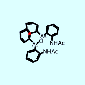 CC(=O)Nc1ccccc1[As](O[As](c1ccccc1)c1ccccc1NC(C)=O)c1ccccc1